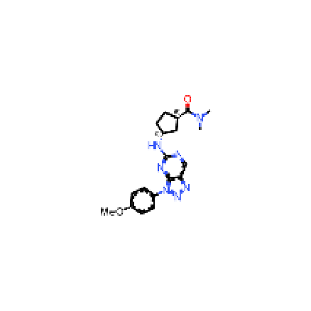 COc1ccc(-n2nnc3cnc(N[C@@H]4CC[C@@H](C(=O)N(C)C)C4)nc32)cc1